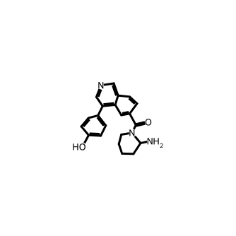 NC1CCCCN1C(=O)c1ccc2cncc(-c3ccc(O)cc3)c2c1